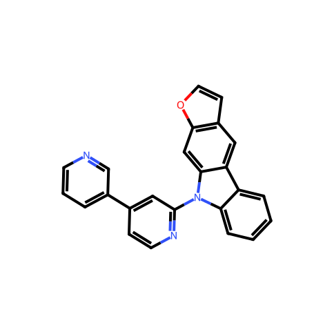 c1cncc(-c2ccnc(-n3c4ccccc4c4cc5ccoc5cc43)c2)c1